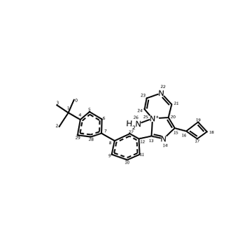 CC(C)(C)c1ccc(-c2cccc(C3=NC(C4=CC=C4)=C4C=NC=C[N+]34N)c2)cc1